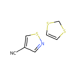 C1=CSCS1.N#Cc1cnsc1